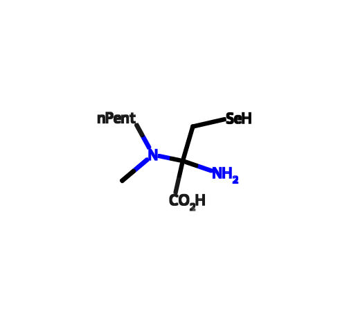 CCCCCN(C)C(N)(C[SeH])C(=O)O